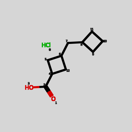 Cl.O=C(O)C1CC(CC2CCC2)C1